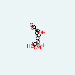 C[C@@H]1CC(O[C@@H]2C=C3CCC4C(CC[C@]5(C)[C@@H](c6ccc(=O)oc6)CC[C@]45O)[C@@]3(C)CC2)[C@H](O)[C@H](O)[C@@H]1O